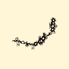 CCC(=O)NCCOCCC(=O)CCCNc1ccc(C2=CN3C(=O)c4cc(OC)c(OCCCOc5cc6c(cc5C)C(=O)N5Cc7ccccc7C[C@H]5C=N6)cc4N=C[C@@H]3C2)cc1